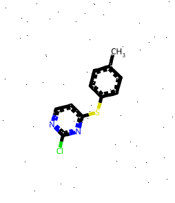 Cc1ccc(Sc2ccnc(Cl)n2)cc1